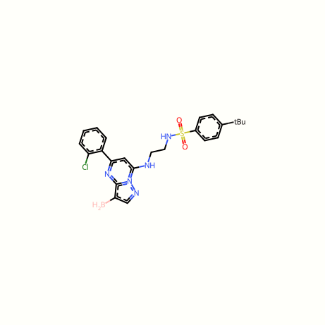 Bc1cnn2c(NCCNS(=O)(=O)c3ccc(C(C)(C)C)cc3)cc(-c3ccccc3Cl)nc12